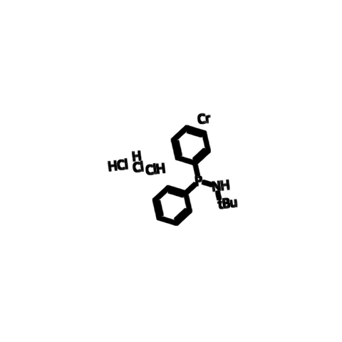 CC(C)(C)NP(c1ccccc1)c1ccccc1.Cl.Cl.Cl.[Cr]